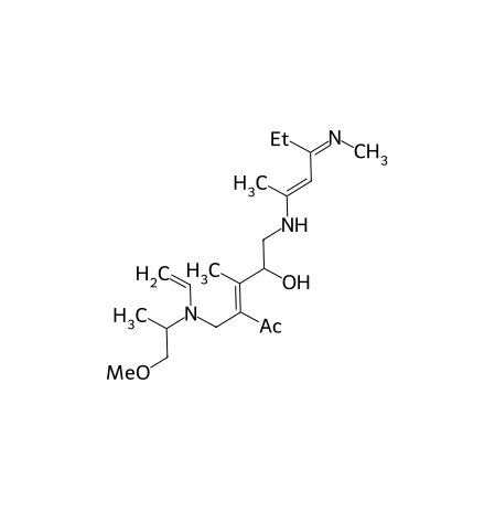 C=CN(C/C(C(C)=O)=C(\C)C(O)CN/C(C)=C/C(CC)=N\C)C(C)COC